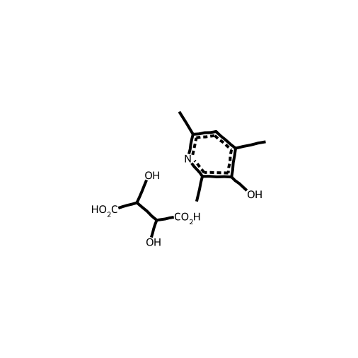 Cc1cc(C)c(O)c(C)n1.O=C(O)C(O)C(O)C(=O)O